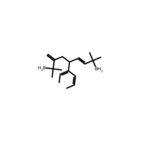 BC(C)(C)/C=C/C(CC(=C)C(B)(C)C)C(/C=C\C)=C/C